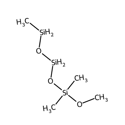 CO[Si](C)(C)O[SiH2]O[SiH2]C